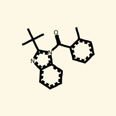 Cc1ccccc1C(=O)n1c(C(C)(C)C)nc2ccccc21